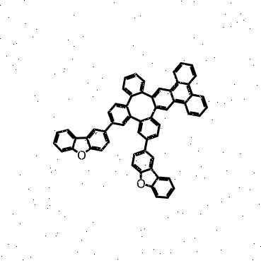 c1ccc2c(c1)-c1ccc(-c3ccc4oc5ccccc5c4c3)cc1-c1cc(-c3ccc4oc5ccccc5c4c3)ccc1-c1cc3c4ccccc4c4ccccc4c3cc1-2